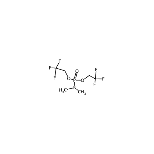 CN(C)P(=O)(OCC(F)(F)F)OCC(F)(F)F